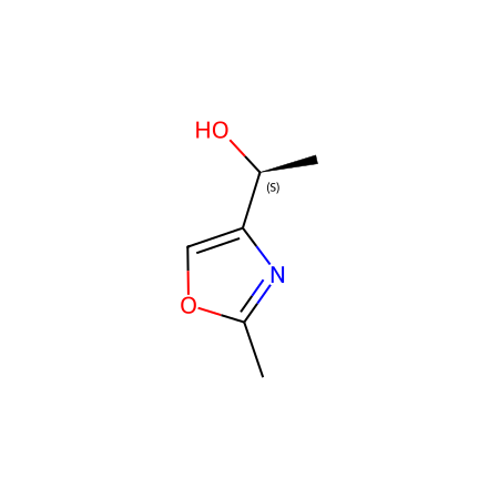 Cc1nc([C@H](C)O)co1